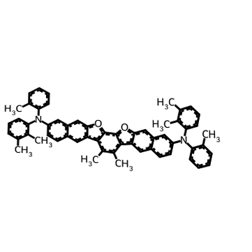 Cc1ccccc1N(c1ccc2cc3c(cc2c1)oc1c2oc4cc5cc(N(c6ccccc6C)c6cccc(C)c6C)ccc5cc4c2c(C)c(C)c31)c1cccc(C)c1C